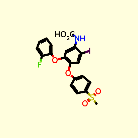 CS(=O)(=O)c1ccc(Oc2cc(I)c(NC(=O)O)cc2Oc2ccccc2F)cc1